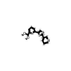 COC(OC)c1cccc(-c2cnc(-c3cccnc3)s2)n1